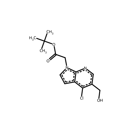 CC(C)(C)OC(=O)Cn1ccc2c(Cl)c(CO)cnc21